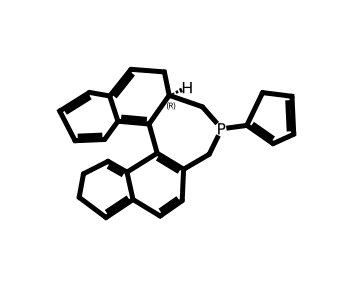 C1=CCC(P2Cc3ccc4c(c3C3=c5ccccc5=CC[C@H]3C2)=CCCC=4)=C1